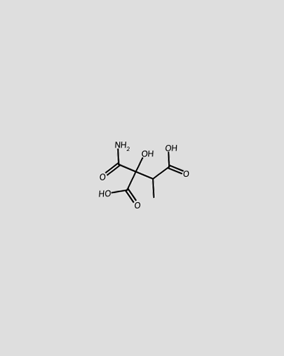 CC(C(=O)O)C(O)(C(N)=O)C(=O)O